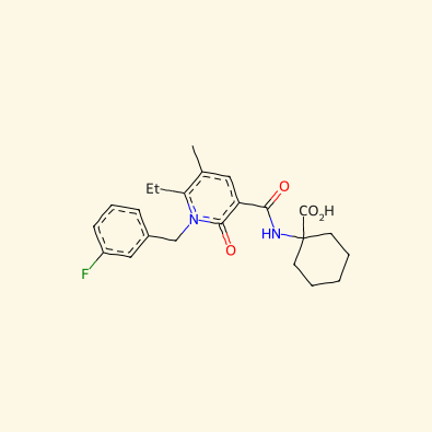 CCc1c(C)cc(C(=O)NC2(C(=O)O)CCCCC2)c(=O)n1Cc1cccc(F)c1